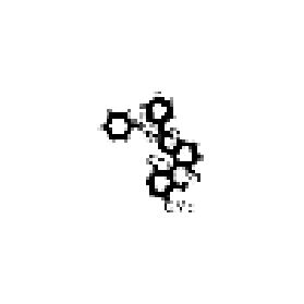 COc1ccc(C)c(-c2c(Cl)ccc3c2C[C@@](CNC2CCCCC2)(c2ccccc2)O3)c1F